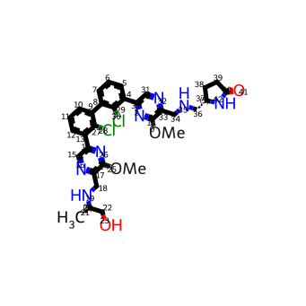 COc1nc(-c2cccc(-c3cccc(-c4cnc(CN[C@H](C)CO)c(OC)n4)c3Cl)c2Cl)cnc1CNC[C@@H]1CCC(=O)N1